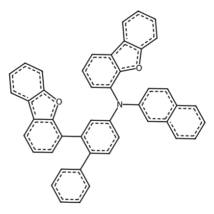 c1ccc(-c2ccc(N(c3ccc4ccccc4c3)c3cccc4c3oc3ccccc34)cc2-c2cccc3c2oc2ccccc23)cc1